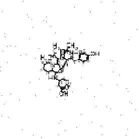 CC(=O)N[C@@H](Cc1ccc(O)cc1)C(=O)N[C@H](C(=O)N1CCCCC1C(=O)NC(C=O)CC(=O)O)C(C)C